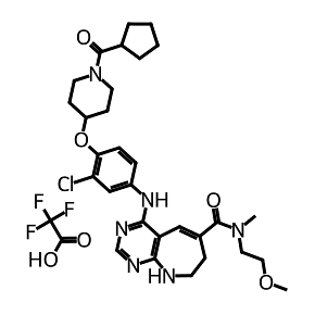 COCCN(C)C(=O)C1=Cc2c(ncnc2Nc2ccc(OC3CCN(C(=O)C4CCCC4)CC3)c(Cl)c2)NCC1.O=C(O)C(F)(F)F